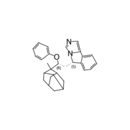 CC1([C@@H](C[C@H]2c3ccccc3-c3cncn32)Oc2ccccc2)C2CC3CC(C2)CC1C3